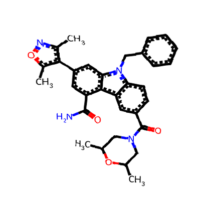 Cc1noc(C)c1-c1cc(C(N)=O)c2c3cc(C(=O)N4CC(C)OC(C)C4)ccc3n(Cc3ccccc3)c2c1